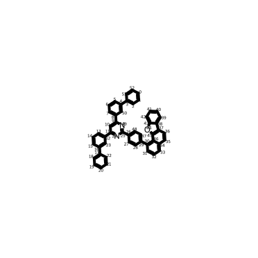 c1ccc(-c2cccc(-c3cc(-c4cccc(-c5ccccc5)c4)nc(-c4ccc(-c5cccc6ccc7c8ccccc8oc7c56)cc4)n3)c2)cc1